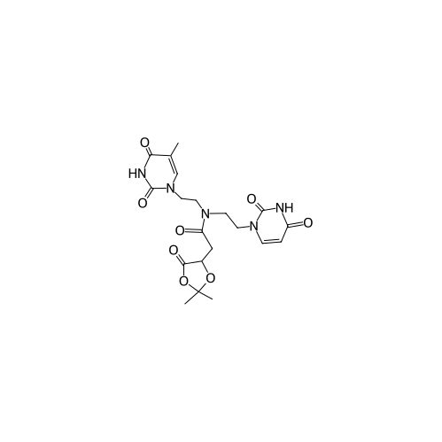 Cc1cn(CCN(CCn2ccc(=O)[nH]c2=O)C(=O)CC2OC(C)(C)OC2=O)c(=O)[nH]c1=O